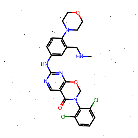 CNCc1cc(Nc2ncc3c(n2)OCN(c2c(Cl)cccc2Cl)C3=O)ccc1N1CCOCC1